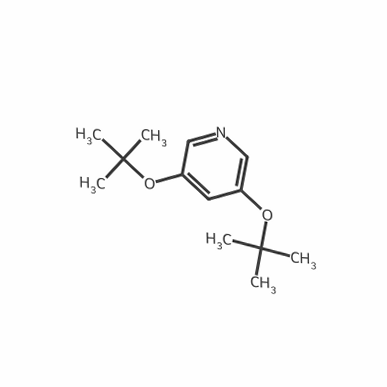 CC(C)(C)Oc1cncc(OC(C)(C)C)c1